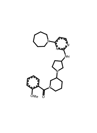 COc1ccccc1C(=O)N1CCCC(N2CCC(Nc3nccc(N4CCCCCC4)n3)C2)C1